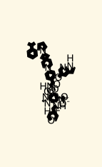 CC(C)c1ccccc1[C@@H]1CCCN1C1CC2(CCN(c3ccc(C(=O)NS(=O)(=O)c4cc([N+](=O)[O-])c(NCC5(F)CCOCC5)c5[nH]cnc45)c(Oc4cnc5[nH]ccc5c4)c3)CC2)C1